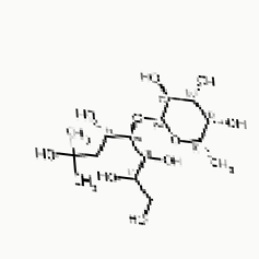 C[C@@H]1O[C@@H](O[C@@H]([C@@H](O)[C@H](O)CO)[C@@H](O)CC(C)(C)O)[C@@H](O)[C@H](O)[C@@H]1O